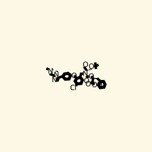 CN(C)Cc1ncc(-c2ccc(Oc3cc(Cl)ccc3CN(C(=O)O[C@@H](Cc3ccccc3)C(=O)O)[C@H](C=O)COC(C)(C)C)cc2)n1C